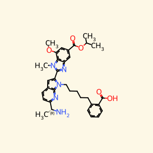 COc1cc(C(=O)OC(C)C)cc2nc(-c3cc4ccc([C@@H](C)N)nc4n3CCCCCc3ccccc3C(=O)O)n(C)c12